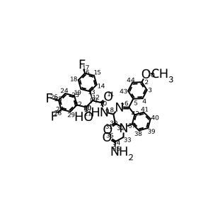 COc1ccc(C2=NC(NC(=O)[C@H](c3ccc(F)cc3)[C@@H](O)c3ccc(F)c(F)c3)C(=O)N(CC(N)=O)c3ccccc32)cc1